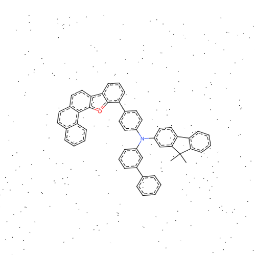 CC1(C)c2ccccc2-c2ccc(N(c3ccc(-c4cccc5c4oc4c5ccc5ccc6ccccc6c54)cc3)c3cccc(-c4ccccc4)c3)cc21